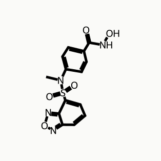 CN(c1ccc(C(=O)NO)cc1)S(=O)(=O)c1cccc2nonc12